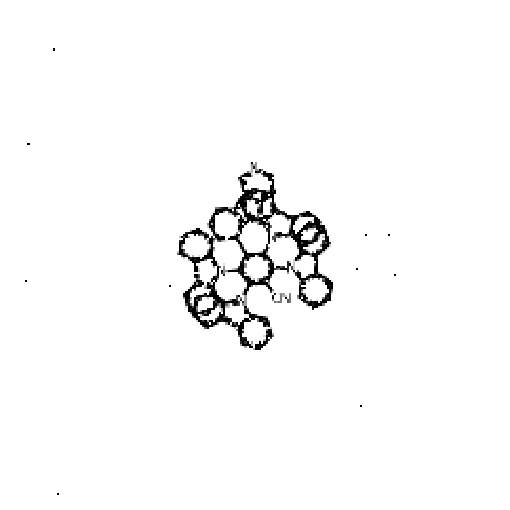 N#Cc1c(-n2c3ccccc3c3ccccc32)c(-n2c3ccccc3c3ccccc32)c(-c2cccc3c2sc2ccncc23)c(-n2c3ccccc3c3ccccc32)c1-n1c2ccccc2c2ccccc21